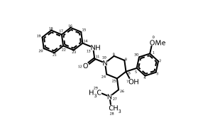 COc1cccc(C2(O)CCN(C(=O)Nc3ccc4ccccc4c3)CC2CN(C)C)c1